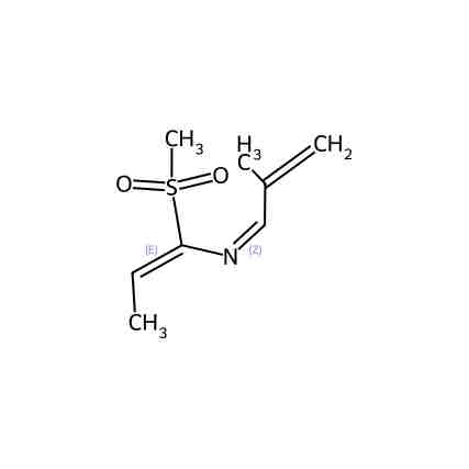 C=C(C)/C=N\C(=C/C)S(C)(=O)=O